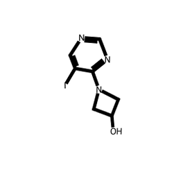 OC1CN(c2ncncc2I)C1